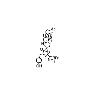 CC(=O)[C@H]1CC[C@H]2[C@@H]3CC[C@H]4C[C@H](OC(=O)[C@H](Cc5ccc(O)cc5)NC(=O)[C@@H](N)CC(C)C)CC[C@]4(C)[C@H]3CC[C@]12C